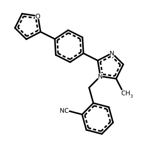 Cc1cnc(-c2ccc(-c3ccco3)cc2)n1Cc1ccccc1C#N